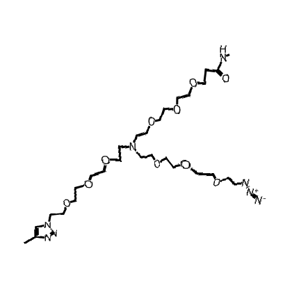 CNC(=O)CCOCCOCCOCCN(CCOCCOCCOCCN=[N+]=[N-])CCOCCOCCOCCn1cc(C)nn1